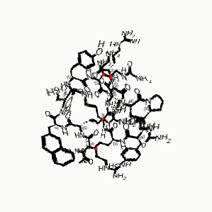 CC(=O)N[C@@H](CCCNC(=N)N)C(=O)N[C@@H](CCCNC(=N)N)C(=O)N[C@@H](Cc1ccc2ccccc2c1)C(=O)N[C@@H](CS)C(=O)N[C@@H](Cc1ccc(O)cc1)C(=O)N[C@@H](CCCNC(N)=O)C(=O)N[C@@H](CCCCN)C(=O)N[C@H](CCCNC(N)=O)C(=O)N1CCC[C@H]1C(=O)N[C@@H](Cc1ccc(O)cc1)C(=O)N[C@@H](CCCNC(=N)N)C(=O)N[C@@H](CCCNC(N)=O)C(=O)N[C@@H](CS)C(=O)N[C@@H](CCCNC(=N)N)C(N)=O